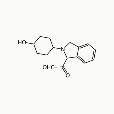 O=CC(=O)C1c2ccccc2CN1C1CCC(O)CC1